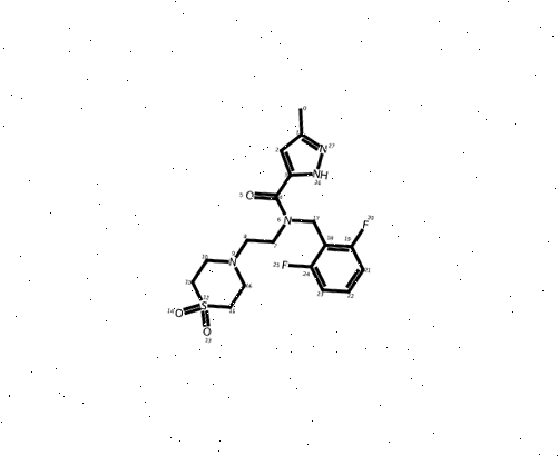 Cc1cc(C(=O)N(CCN2CCS(=O)(=O)CC2)Cc2c(F)cccc2F)[nH]n1